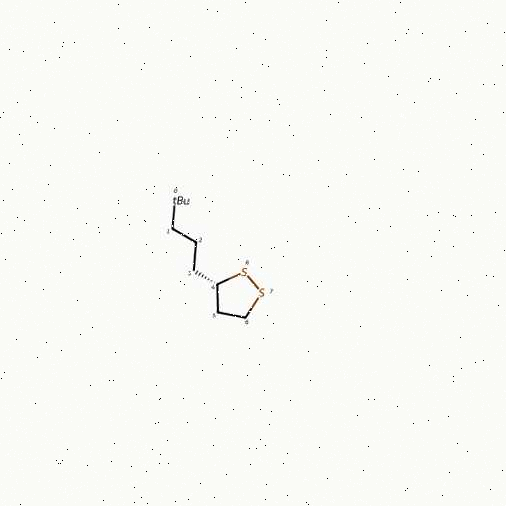 CC(C)(C)CCC[C@H]1CCSS1